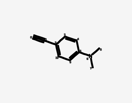 C#Cc1ccc(N(C)C)cc1